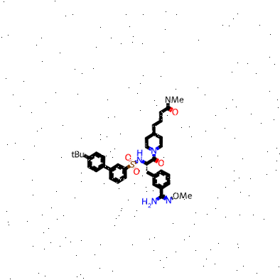 CNC(=O)CCCC1CCN(C(=O)[C@H](Cc2cccc(/C(N)=N\OC)c2)NS(=O)(=O)c2cccc(-c3ccc(C(C)(C)C)cc3)c2)CC1